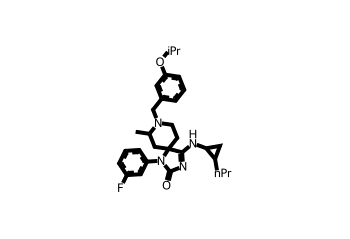 CCCC1CC1NC1=NC(=O)N(c2cccc(F)c2)C12CCN(Cc1cccc(OC(C)C)c1)C(C)C2